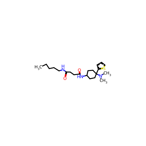 CCCCCNC(=O)CCC(=O)NC1CCC(c2cccs2)(N(C)C)CC1